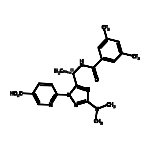 C[C@H](NC(=O)c1cc(C(F)(F)F)cc(C(F)(F)F)c1)c1nc(N(C)C)nn1-c1ccc(C(=O)O)cn1